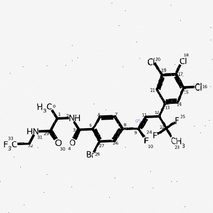 CC(NC(=O)c1ccc(/C(F)=C/C(c2cc(Cl)c(Cl)c(Cl)c2)C(C)(F)F)cc1Br)C(=O)NCC(F)(F)F